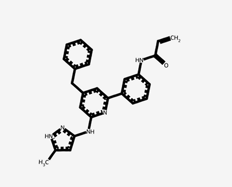 C=CC(=O)Nc1cccc(-c2cc(Cc3ccccc3)cc(Nc3cc(C)[nH]n3)n2)c1